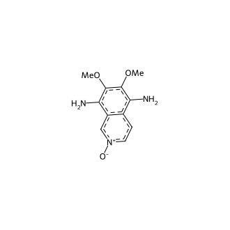 COc1c(OC)c(N)c2c[n+]([O-])ccc2c1N